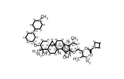 CC(C)[C@@H](OC(=O)N1CCC1)[C@H]1C[C@@H](C)[C@H]2[C@H](O1)[C@H](O)[C@@]1(C)[C@@H]3CC[C@H]4C(C)(C)[C@@H](O[C@H]5CN(C6CCN(C)CC6)CCO5)CC[C@@]45C[C@@]35CC[C@]21C